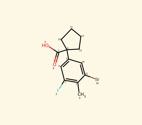 Cc1c(F)cc(C2(C(=O)O)CCCC2)cc1Br